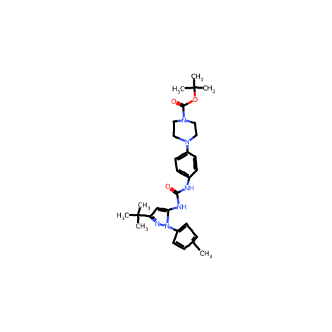 Cc1ccc(-n2nc(C(C)(C)C)cc2NC(=O)Nc2ccc(N3CCN(C(=O)OC(C)(C)C)CC3)cc2)cc1